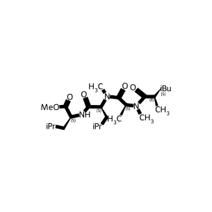 CC[C@H](C)[C@@H](C)C(=O)N(C)[C@@H](C)C(=O)N(C)[C@@H](CC(C)C)C(=O)N[C@@H](CC(C)C)C(=O)OC